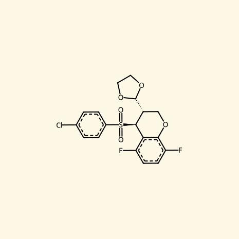 O=S(=O)(c1ccc(Cl)cc1)[C@@H]1c2c(F)ccc(F)c2OC[C@H]1C1OCCO1